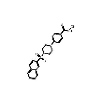 O=C(NO)c1ccc(N2CCN(S(=O)(=O)c3ccc4ccccc4c3)CC2)nc1